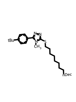 CCCCCCCCCCCCCCCCCCSc1nnc(-c2ccc(C(C)(C)C)cc2)n1C